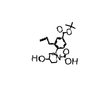 C=CCc1cc(C(=O)OC(C)(C)C)ccc1[C@@H]1CC(O)CCN1C(=O)O